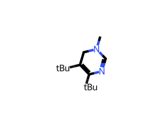 CN1C=NC(C(C)(C)C)=C(C(C)(C)C)C1